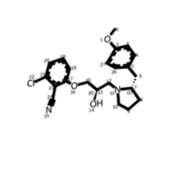 COc1ccc(C[C@@H]2CCCN2C[C@@H](O)COc2cccc(Cl)c2C#N)cc1